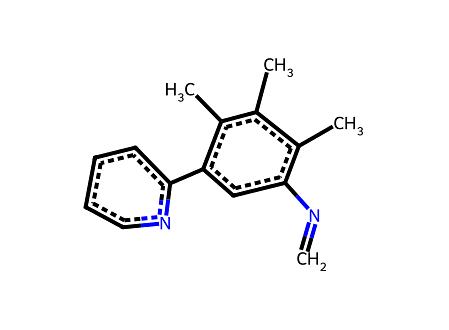 C=Nc1cc(-c2ccccn2)c(C)c(C)c1C